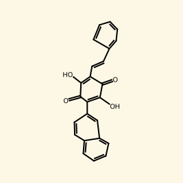 O=C1C(O)=C(c2ccc3ccccc3c2)C(=O)C(O)=C1C=Cc1ccccc1